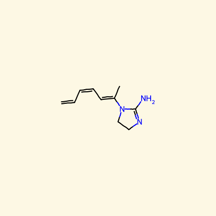 C=C/C=C\C=C(/C)N1CCN=C1N